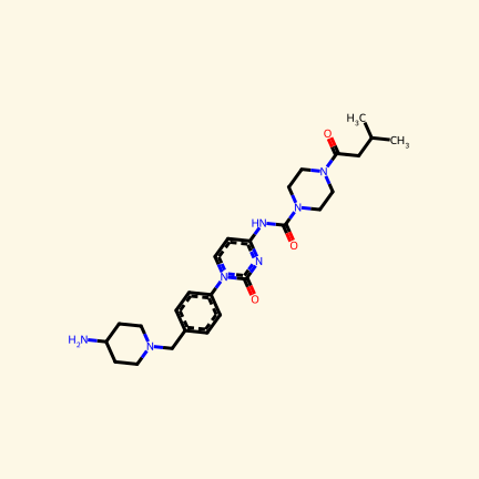 CC(C)CC(=O)N1CCN(C(=O)Nc2ccn(-c3ccc(CN4CCC(N)CC4)cc3)c(=O)n2)CC1